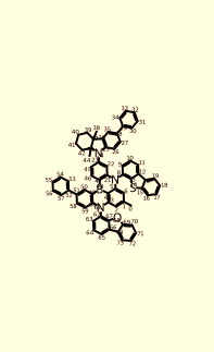 Cc1cc2c3c(c1)N(c1cccc4c1sc1ccccc14)c1cc(N4c5ccc(-c6ccccc6)cc5C5(C)CCCCC45C)ccc1B3c1cc(-c3ccccc3)ccc1N2c1cccc2c1oc1ccccc12